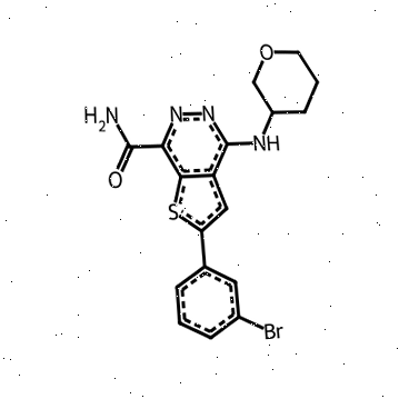 NC(=O)c1nnc(NC2CCCOC2)c2cc(-c3cccc(Br)c3)sc12